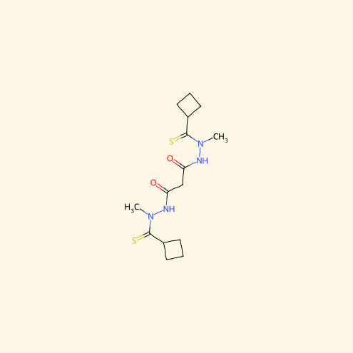 CN(NC(=O)CC(=O)NN(C)C(=S)C1CCC1)C(=S)C1CCC1